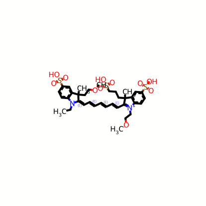 CCN1/C(=C/C=C/C=C/C=C/C2=[N+](CCOC)c3ccc(S(=O)(=O)O)cc3C2(C)CCCS(=O)(=O)O)C(C)(CCOC)c2cc(S(=O)(=O)O)ccc21